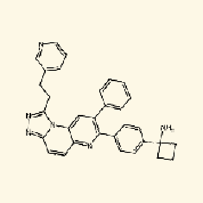 NC1(c2ccc(-c3nc4ccc5nnc(CCc6cccnc6)n5c4cc3-c3ccccc3)cc2)CCC1